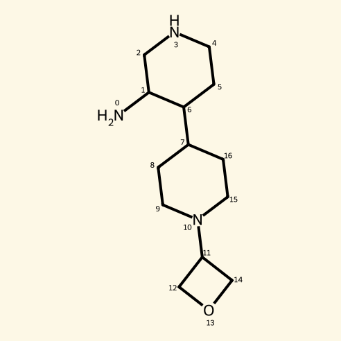 NC1CNCCC1C1CCN(C2COC2)CC1